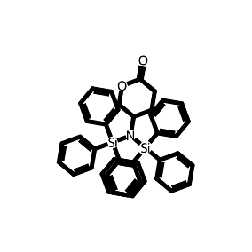 O=C1CCC(N([Si](c2ccccc2)(c2ccccc2)c2ccccc2)[Si](c2ccccc2)(c2ccccc2)c2ccccc2)CO1